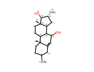 CC(=O)OC1CC[C@@]2(C)C(=CC(O)C3C2CC[C@@]2(C)C3C[C@@H](OC(C)=O)[C@@H]2O)C1